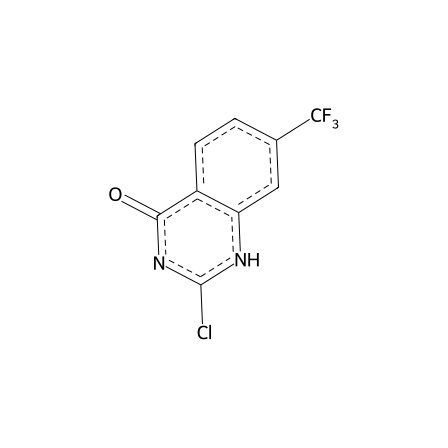 O=c1nc(Cl)[nH]c2cc(C(F)(F)F)ccc12